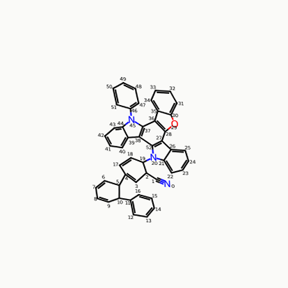 N#CC1C=C(C2C=CC=CC2c2ccccc2)C=CC1n1c2ccccc2c2c3oc4ccccc4c3c3c(c4ccccc4n3-c3ccccc3)c21